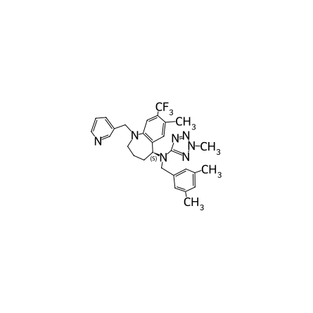 Cc1cc(C)cc(CN(c2nnn(C)n2)[C@H]2CCCN(Cc3cccnc3)c3cc(C(F)(F)F)c(C)cc32)c1